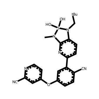 CN1c2nc(-c3cc(Oc4ccnc(C#N)c4)ccc3C#N)ccc2N(CC(C)(C)C)S1(O)O